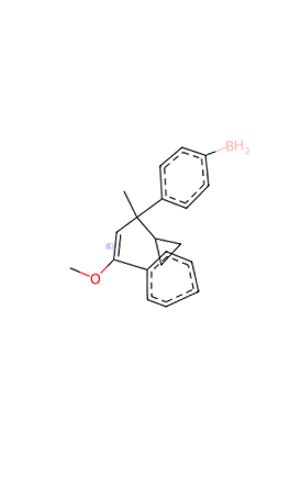 Bc1ccc(C(C)(/C=C(/OC)c2ccccc2)C2CC2)cc1